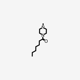 CCCCCCC(=O)N1CCN(C)CC1